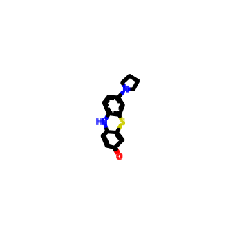 O=C1C=CC2Nc3ccc(N4CCCC4)cc3SC2=C1